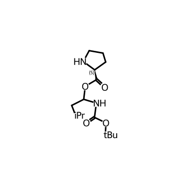 CC(C)CC(NC(=O)OC(C)(C)C)OC(=O)[C@@H]1CCCN1